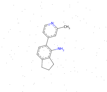 Cc1cc(-c2ccc3c(c2N)CCC3)ccn1